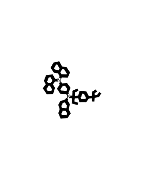 CCC(C)(CC)c1ccc(C(CC)(CC)N(c2ccc(N(c3cccc4ccccc34)c3cccc4ccccc34)cc2)c2ccc3ccccc3c2)cc1